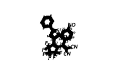 Cc1sc(-c2ccccc2)cc1C1=C(C(=C(C#N)C#N)c2ccc(N=O)cc2)C(F)(F)C(F)(F)C1(F)F